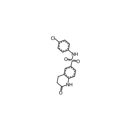 O=C1CCc2cc(S(=O)(=O)Nc3ccc(Cl)cc3)ccc2N1